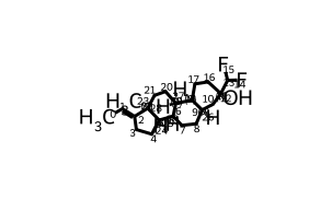 CC=C1CC[C@H]2[C@@H]3CC[C@@H]4C[C@@](O)(C(F)F)CC[C@@H]4[C@H]3CC[C@]12C